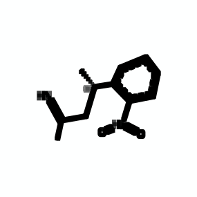 CC(=N)C[C@H](C)c1ccccc1[SH](=O)=O